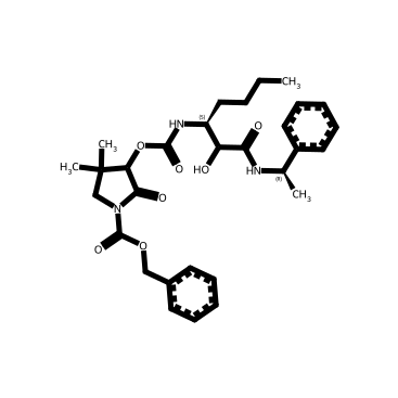 CCCC[C@H](NC(=O)OC1C(=O)N(C(=O)OCc2ccccc2)CC1(C)C)C(O)C(=O)N[C@H](C)c1ccccc1